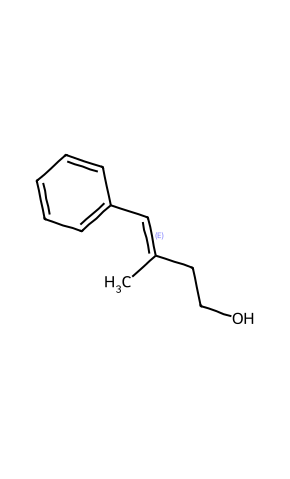 C/C(=C\c1ccccc1)CCO